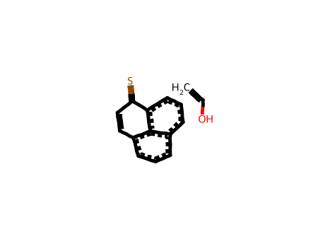 C=CO.S=C1C=Cc2cccc3cccc1c23